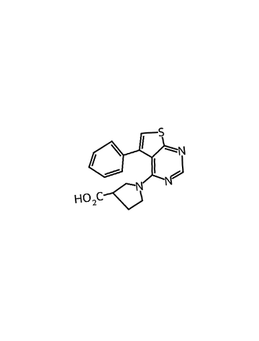 O=C(O)C1CCN(c2ncnc3scc(-c4ccccc4)c23)C1